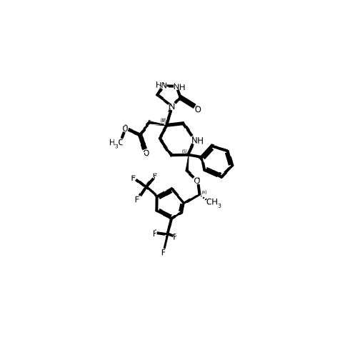 COC(=O)C[C@]1(N2CNNC2=O)CC[C@@](CO[C@H](C)c2cc(C(F)(F)F)cc(C(F)(F)F)c2)(c2ccccc2)NC1